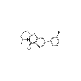 CC1CCCc2nc3cc(-c4cccc(F)c4)ccc3c(=O)n21